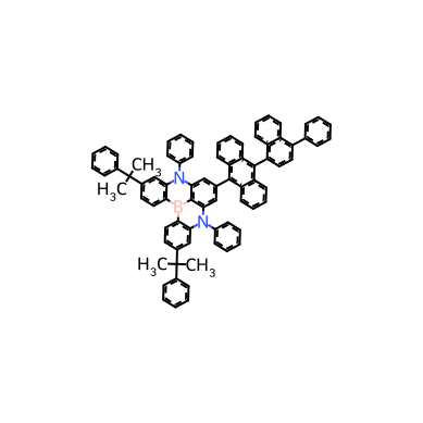 CC(C)(c1ccccc1)c1ccc2c(c1)N(c1ccccc1)c1cc(-c3c4ccccc4c(-c4ccc(-c5ccccc5)c5ccccc45)c4ccccc34)cc3c1B2c1ccc(C(C)(C)c2ccccc2)cc1N3c1ccccc1